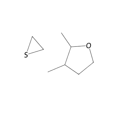 C1CS1.CC1CCOC1C